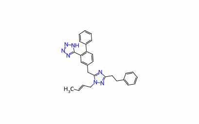 CC=CCn1nc(CCc2ccccc2)nc1Cc1ccc(-c2ccccc2)c(-c2nnn[nH]2)c1